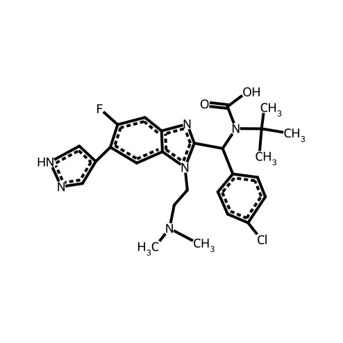 CN(C)CCn1c(C(c2ccc(Cl)cc2)N(C(=O)O)C(C)(C)C)nc2cc(F)c(-c3cn[nH]c3)cc21